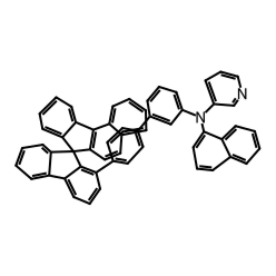 c1cncc(N(c2cccc(-c3ccc(-c4cccc5c4C4(c6ccccc6-5)c5ccccc5-c5c4ccc4ccccc54)cc3)c2)c2cccc3ccccc23)c1